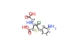 Nc1cccc(-c2sc(C(=O)O)c(NCC(=O)O)c2Cl)c1